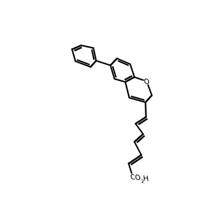 O=C(O)C=CC=CC=CC1=Cc2cc(-c3ccccc3)ccc2OC1